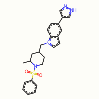 CC1CC(Cn2ccc3cc(-c4cn[nH]c4)ccc32)CCN1S(=O)(=O)c1ccccc1